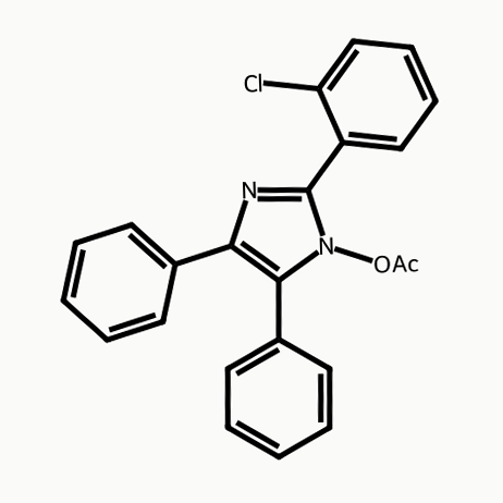 CC(=O)On1c(-c2ccccc2Cl)nc(-c2ccccc2)c1-c1ccccc1